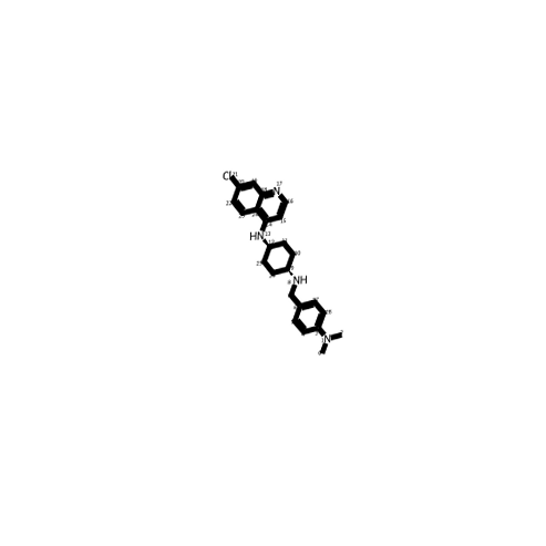 CN(C)c1ccc(CN[C@H]2CC[C@H](Nc3ccnc4cc(Cl)ccc34)CC2)cc1